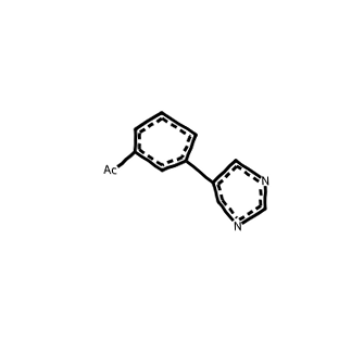 CC(=O)c1cccc(-c2cncnc2)c1